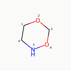 C1COCON1